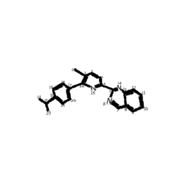 Cc1ccc(-c2ncc3ccccc3n2)nc1-c1ccc(C(C)C)cc1